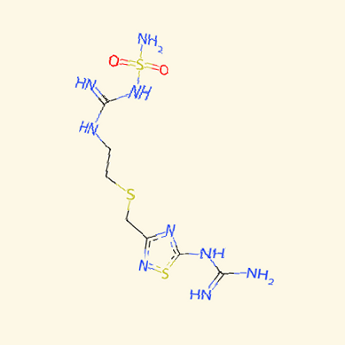 N=C(N)Nc1nc(CSCCNC(=N)NS(N)(=O)=O)ns1